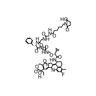 CC[C@@]1(O)C(=O)OCc2c1cc1n(c2=O)Cc2c-1nc1cc(F)c(C)c3c1c2[C@@H](NC(=O)[C@H](OCNC(=O)CNC(=O)[C@H](Cc1ccccc1)NC(=O)CNC(=O)CNC(=O)CCCCCN1C(=O)CCC1O)C1CC1)CC3